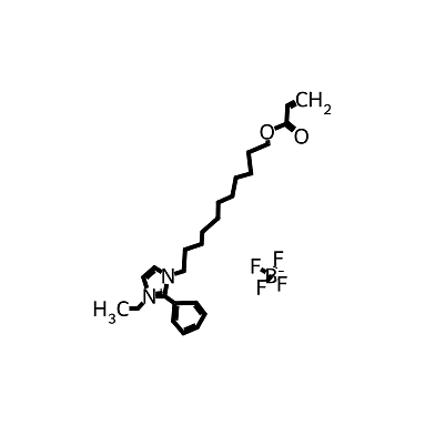 C=CC(=O)OCCCCCCCCCCCn1cc[n+](CC)c1-c1ccccc1.F[B-](F)(F)F